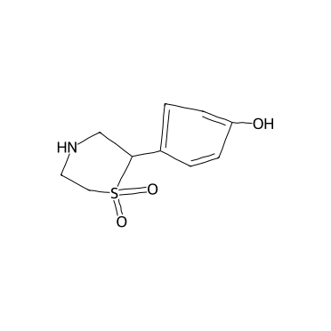 O=S1(=O)CCNCC1c1ccc(O)cc1